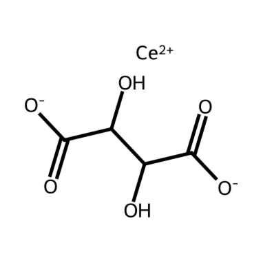 O=C([O-])C(O)C(O)C(=O)[O-].[Ce+2]